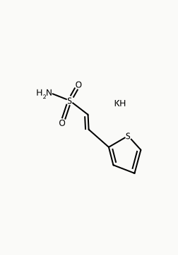 NS(=O)(=O)C=Cc1cccs1.[KH]